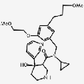 COCCCc1cc(CN(C(=O)C2CNCC[C@]2(O)c2cccnc2)C2CC2)cc(OCCOC)c1